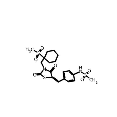 CS(=O)(=O)Nc1ccc(C=C2SC(=O)N(CC3(S(C)(=O)=O)CCCCC3)C2=O)cc1